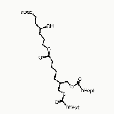 CCCCCCCCCCCCC(O)CCCOC(=O)CCCCC(COC(=O)CCCCCCC)COC(=O)CCCCCCC